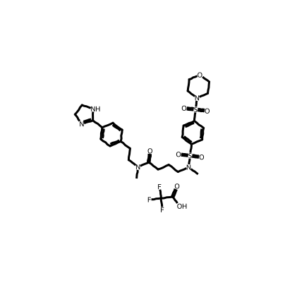 CN(CCc1ccc(C2=NCCN2)cc1)C(=O)CCCN(C)S(=O)(=O)c1ccc(S(=O)(=O)N2CCOCC2)cc1.O=C(O)C(F)(F)F